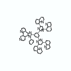 c1ccc(-n2c(-c3cc(-c4nc(-c5cccc6cccnc56)cc(-c5cccc6cccnc56)n4)cc(-c4nc(-c5cccc6cccnc56)cc(-c5cccc6cccnc56)n4)c3)nc3c4cccnc4c4cnccc4c32)cc1